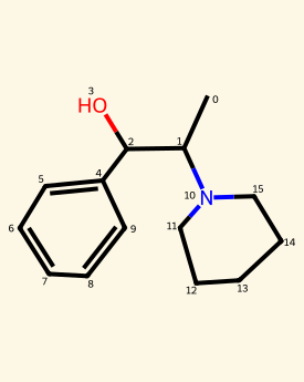 CC(C(O)c1ccccc1)N1CCCCC1